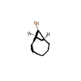 Br[C@@H]1[C@H]2CCCCC[C@@H]12